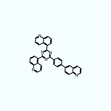 c1cnc2ccc(-c3ccc(-c4nc(-c5cccc6ncccc56)nc(-c5cccc6ncccc56)n4)cc3)cc2c1